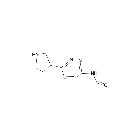 O=CNc1ccc(C2CCNC2)nn1